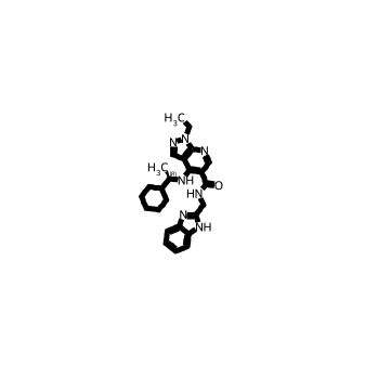 CCn1ncc2c(N[C@H](C)C3CCCCC3)c(C(=O)NCc3nc4ccccc4[nH]3)cnc21